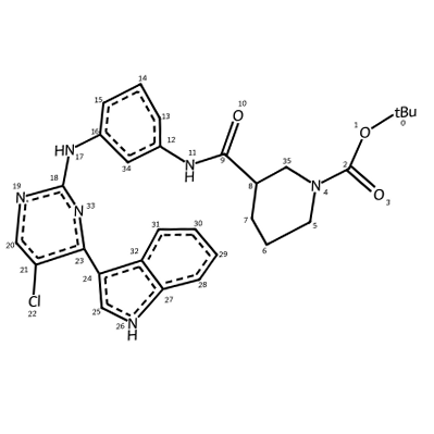 CC(C)(C)OC(=O)N1CCCC(C(=O)Nc2cccc(Nc3ncc(Cl)c(-c4c[nH]c5ccccc45)n3)c2)C1